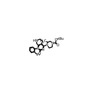 CC(C)c1ccccc1-n1c2c(c(N3CCN(C(=O)OC(C)(C)C)CC3C)nc1=O)CCNC2